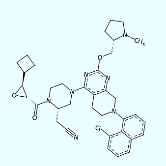 CN1CCC[C@H]1COc1nc2c(c(N3CCN(C(=O)[C@@H]4O[C@H]4C4CCC4)[C@@H](CC#N)C3)n1)CCN(c1cccc3cccc(Cl)c13)C2